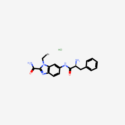 CC(C)Cn1c(C(N)=O)nc2ccc(NC(=O)[C@@H](N)Cc3ccccc3)cc21.Cl